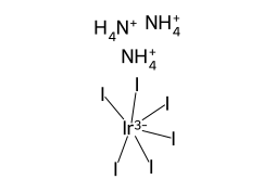 [I][Ir-3]([I])([I])([I])([I])[I].[NH4+].[NH4+].[NH4+]